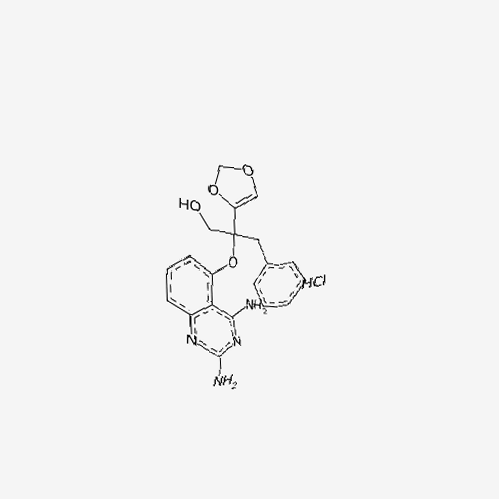 Cl.Nc1nc(N)c2c(OC(CO)(Cc3ccccc3)C3=COCO3)cccc2n1